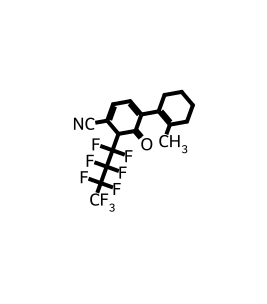 CC1=C(C2=CC=C(C#N)C(C(F)(F)C(F)(F)C(F)(F)C(F)(F)F)C2=O)CCCC1